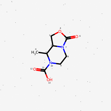 CC1C2COC(=O)N2CCN1C(=O)O